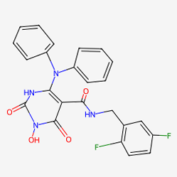 O=C(NCc1cc(F)ccc1F)c1c(N(c2ccccc2)c2ccccc2)[nH]c(=O)n(O)c1=O